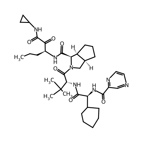 CCC[C@H](NC(=O)[C@H]1[C@H]2CCC[C@H]2CN1C(=O)[C@H](NC(=O)[C@@H](NC(=O)c1cnccn1)C1CCCCC1)C(C)(C)C)C(=O)C(=O)NC1CC1